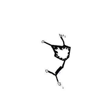 Nc1ccc(/C=C(\Cl)C(F)(F)F)cc1Cl